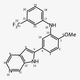 COc1ccc(-c2cc3ccncc3[nH]2)cc1Nc1cccc(C(F)(F)F)c1